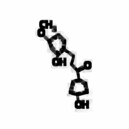 COc1ccc(CCC(=O)c2ccc(O)cc2)c(O)c1